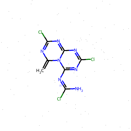 C=C1N=C(Cl)N=C2N=C(Cl)N=C(/N=C(\N)Cl)N12